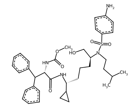 COC(=O)N[C@H](C(=O)N[C@H](CCC[C@@H](CO)N(CCC(C)C)S(=O)(=O)c1ccc(N)cc1)C1CC1)C(c1ccccc1)c1ccccc1